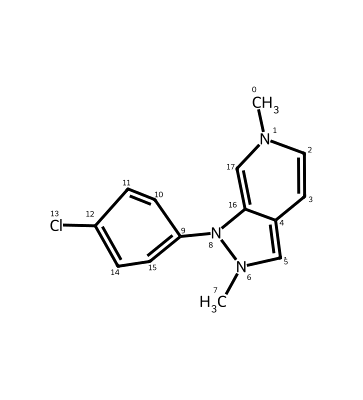 CN1C=CC2=[C]N(C)N(c3ccc(Cl)cc3)C2=C1